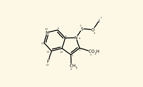 Cc1c(C(=O)O)n(SOI)c2cncc(F)c12